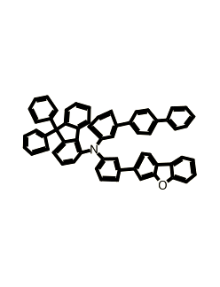 c1ccc(-c2ccc(-c3cccc(N(c4cccc(-c5ccc6c(c5)oc5ccccc56)c4)c4cccc5c4-c4ccccc4C5(c4ccccc4)c4ccccc4)c3)cc2)cc1